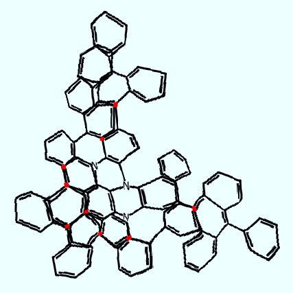 c1ccc(-c2cccc(-c3cccc(-c4cccc(-c5ccccc5)c4)c3N3c4cc(-c5c6ccccc6c(-c6ccccc6)c6ccccc56)ccc4N4c5ccc(-c6c7ccccc7c(-c7ccccc7)c7ccccc67)cc5N(c5c(-c6cccc(-c7ccccc7)c6)cccc5-c5cccc(-c6ccccc6)c5)c5cc(N(c6ccccc6)c6ccccc6)cc3c54)c2)cc1